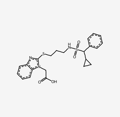 O=C(O)Cn1c(SCCCNS(=O)(=O)C(c2ccccc2)C2CC2)nc2ccccc21